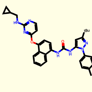 Cc1ccc(-n2nc(C(C)(C)C)cc2NC(=O)Nc2ccc(Oc3ccnc(NCC4CC4)n3)c3ccccc23)cc1